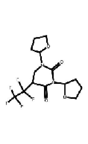 O=C1C(C(F)(F)C(F)(F)F)CN(C2CCCO2)C(=O)N1C1CCCO1